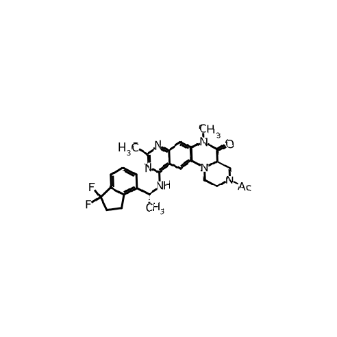 CC(=O)N1CCN2c3cc4c(N[C@H](C)c5cccc6c5CCC6(F)F)nc(C)nc4cc3N(C)C(=O)C2C1